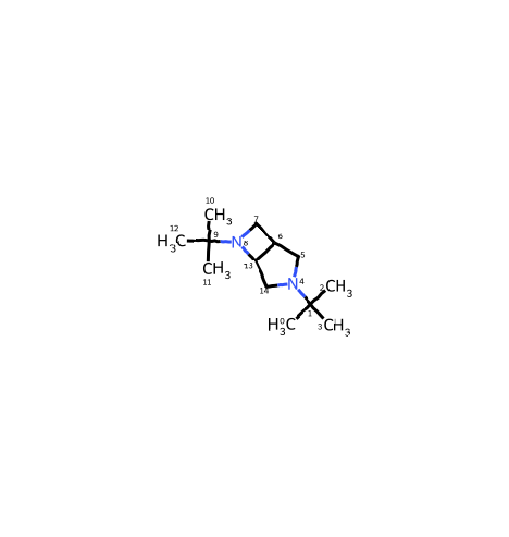 CC(C)(C)N1CC2CN(C(C)(C)C)C2C1